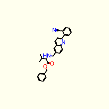 CC(C)[C@H](NCc1ccc2nc(-c3ccccc3C#N)ccc2c1)C(=O)OCc1ccccc1